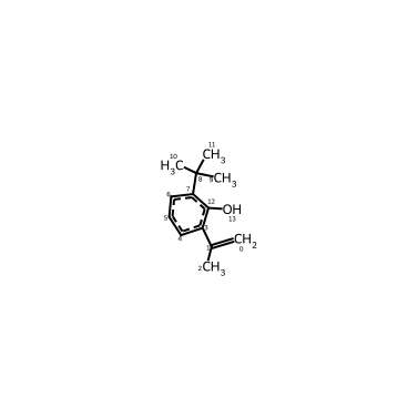 C=C(C)c1cccc(C(C)(C)C)c1O